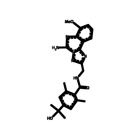 COc1cccc2c1nc(N)n1nc(CNC(=O)c3c(C)cc(C(C)(C)O)cc3C)nc21